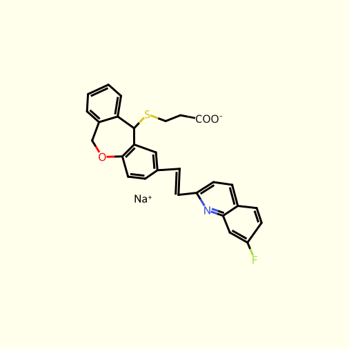 O=C([O-])CCSC1c2ccccc2COc2ccc(/C=C/c3ccc4ccc(F)cc4n3)cc21.[Na+]